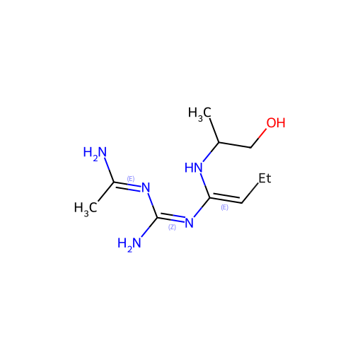 CC/C=C(/N=C(N)\N=C(/C)N)NC(C)CO